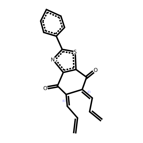 C=C/C=C1/C(=O)c2nc(-c3ccccc3)sc2C(=O)/C1=C/C=C